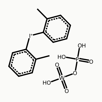 Cc1ccccc1[I+]c1ccccc1C.O=P(O)(O)[O][W](=[O])(=[O])[OH]